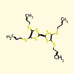 C=CCSC1=C(SCC=C)SC(=C2SC(SCC=C)=C(SCC=C)S2)S1